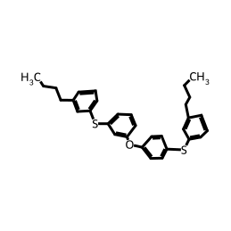 CCCCc1cccc(Sc2ccc(Oc3cccc(Sc4cccc(CCCC)c4)c3)cc2)c1